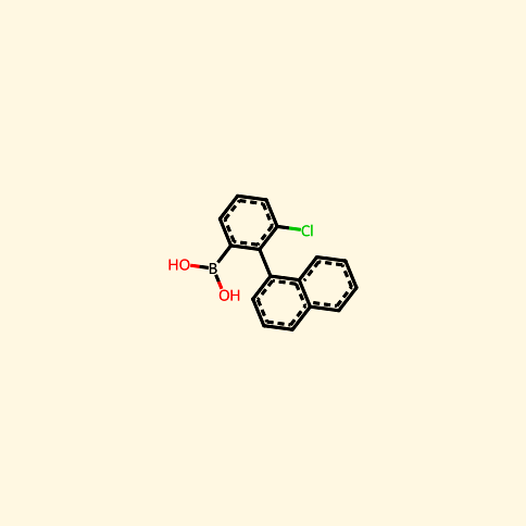 OB(O)c1cccc(Cl)c1-c1cccc2ccccc12